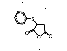 O=C1CC(Sc2ccccc2)C(=O)O1